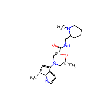 C[C@@H]1CN(c2ccc(C(F)(F)F)c3ncccc23)C[C@H](C(=O)NCC2CCCCN2C)O1